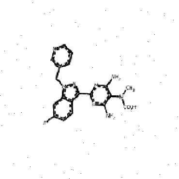 CN(C(=O)O)c1c(N)nc(-c2nn(Cc3cccnc3)c3cc(F)ccc23)nc1N